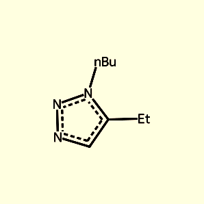 CCCCn1nncc1CC